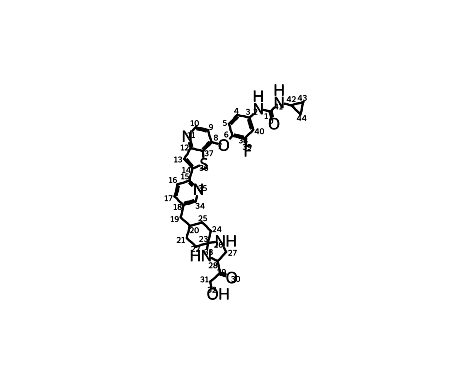 O=C(Nc1ccc(Oc2ccnc3cc(-c4ccc(CC5CCC6(CC5)NCC(C(=O)CO)N6)cn4)sc23)c(F)c1)NC1CC1